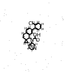 O=C(O)N(C1CN2CCC1CC2)[C@@H]1c2cc(-c3ccccc3Cl)ccc2CCC12CC2